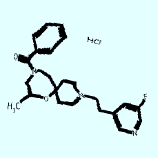 CC1CN(C(=O)c2ccccc2)CC2(CCN(CCc3cncc(F)c3)CC2)O1.Cl